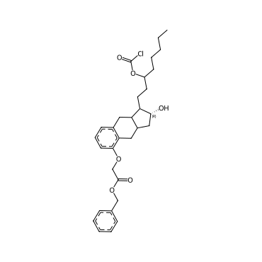 CCCCCC(CCC1C2Cc3cccc(OCC(=O)OCc4ccccc4)c3CC2C[C@H]1O)OC(=O)Cl